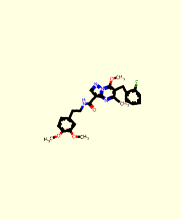 COc1ccc(CCNC(=O)c2cnn3c(OC)c(Cc4ccccc4F)c(C)nc23)cc1OC